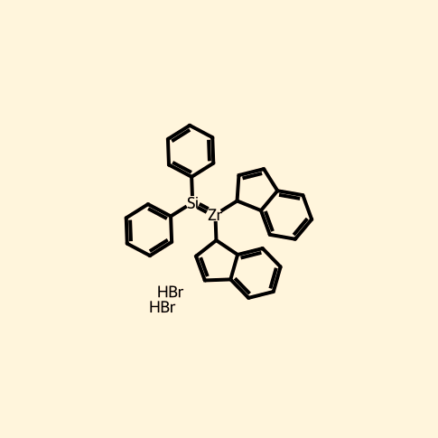 Br.Br.C1=C[CH]([Zr]([CH]2C=Cc3ccccc32)=[Si](c2ccccc2)c2ccccc2)c2ccccc21